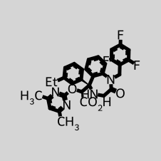 CCc1cccc([C@]2([C@H](Oc3nc(C)cc(C)n3)C(=O)O)NCC(=O)N(Cc3c(F)cc(F)cc3F)c3ccccc32)c1